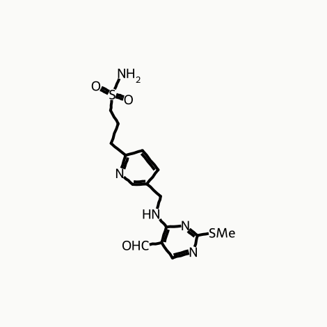 CSc1ncc(C=O)c(NCc2ccc(CCCS(N)(=O)=O)nc2)n1